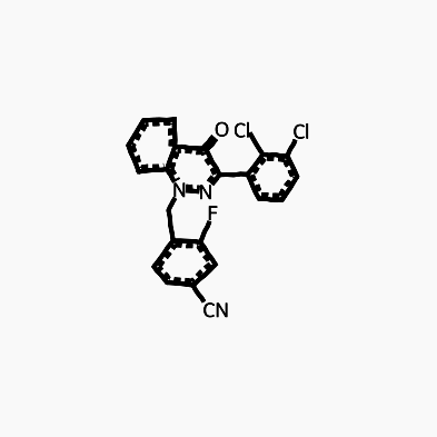 N#Cc1ccc(Cn2nc(-c3cccc(Cl)c3Cl)c(=O)c3ccccc32)c(F)c1